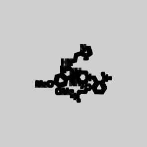 COc1cc2c(cc1OC)C(N)(C1CCN(Cc3c(OCCN(C)C)cccc3N(C)C)CC1)NC(NCCc1nccs1)=N2